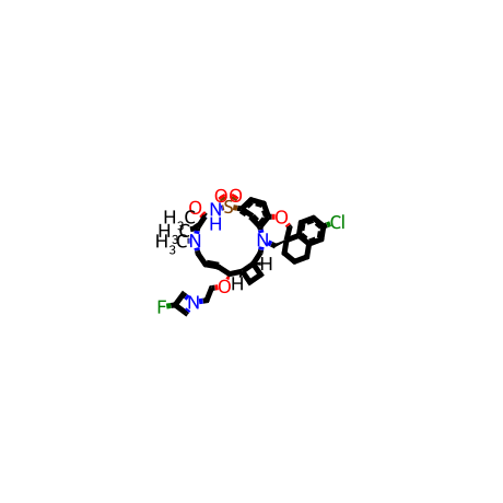 CN1C/C=C/[C@H](OCCN2CC(F)C2)[C@@H]2CC[C@H]2CN2C[C@@]3(CCCc4cc(Cl)ccc43)COc3ccc(cc32)S(=O)(=O)NC(=O)C1(C)C